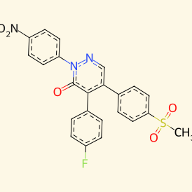 CS(=O)(=O)c1ccc(-c2cnn(-c3ccc([N+](=O)[O-])cc3)c(=O)c2-c2ccc(F)cc2)cc1